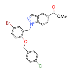 COC(=O)c1ccc2c(cnn2Cc2cc(Br)ccc2OCc2ccc(Cl)cc2)c1